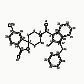 Cc1c(C(=O)N2CCC3(CC2)OC(=O)c2ccc(Cl)cc23)c2ccccc2n1Cc1ccccc1